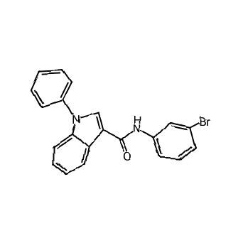 O=C(Nc1cccc(Br)c1)c1cn(-c2ccccc2)c2ccccc12